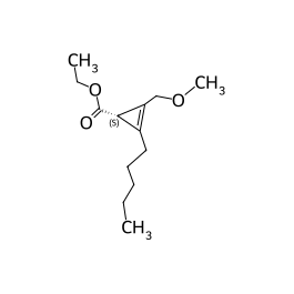 CCCCCC1=C(COC)[C@H]1C(=O)OCC